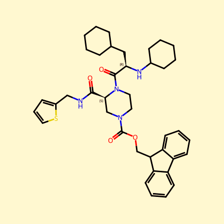 O=C(NCc1cccs1)[C@@H]1CN(C(=O)OCC2c3ccccc3-c3ccccc32)CCN1C(=O)[C@@H](CC1CCCCC1)NC1CCCCC1